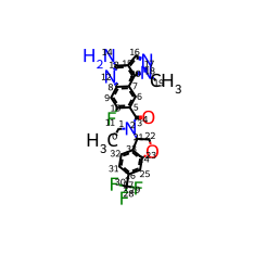 CCN(C(=O)c1cc2c(cc1F)nc(N)c1cnn(C)c12)[C@H]1COc2cc(C(F)(F)F)ccc21